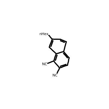 CCCCCCc1ccc2ccc(C#N)c(C#N)c2c1